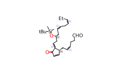 CC/C=C\C/C=C\C[C@@H](C/C=C1/C(=O)C=C[C@@H]1C/C=C\CCC=O)O[Si](C)(C)C(C)(C)C